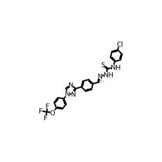 FC(F)(F)Oc1ccc(-n2cnc(-c3ccc(/C=N/NC(=S)Nc4ccc(Cl)cc4)cc3)n2)cc1